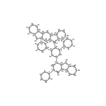 c1ccc(-c2nc(-c3cc(-c4ccccc4)c(-n4c5ccccc5c5cc6c(cc54)sc4ccccc46)c(-c4ccccc4)c3)c3sc4ccccc4c3n2)cc1